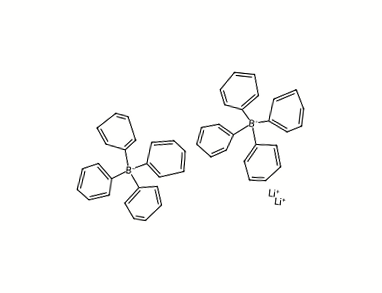 [Li+].[Li+].c1ccc([B-](c2ccccc2)(c2ccccc2)c2ccccc2)cc1.c1ccc([B-](c2ccccc2)(c2ccccc2)c2ccccc2)cc1